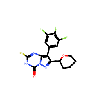 O=c1[nH]c(S)nc2c(-c3cc(F)c(F)c(F)c3)c(C3CCCCO3)nn12